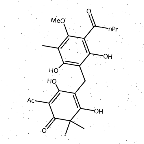 CCCC(=O)c1c(O)c(CC2=C(O)C(C)(C)C(=O)C(C(C)=O)=C2O)c(O)c(C)c1OC